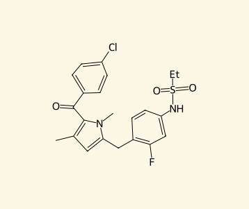 CCS(=O)(=O)Nc1ccc(Cc2cc(C)c(C(=O)c3ccc(Cl)cc3)n2C)c(F)c1